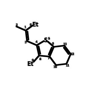 CC/C(C)=C\c1sc2c(c1CC)CCC=C2